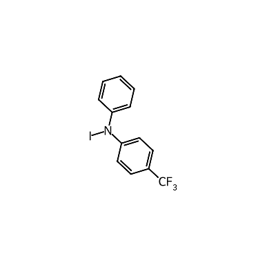 FC(F)(F)c1ccc(N(I)c2ccccc2)cc1